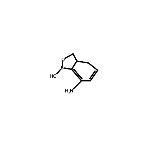 NC1=C2B(O)OCC2CC=C1